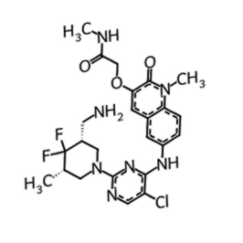 CNC(=O)COc1cc2cc(Nc3nc(N4C[C@@H](CN)C(F)(F)[C@@H](C)C4)ncc3Cl)ccc2n(C)c1=O